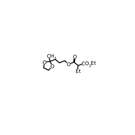 CCOC(=O)C(CC)C(=O)OCCCC1(C)OCCO1